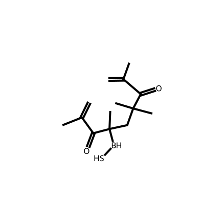 C=C(C)C(=O)C(C)(C)CC(C)(BS)C(=O)C(=C)C